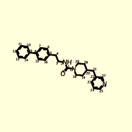 O=C(NCCc1ccc(-c2ccccc2)cc1)N1CCC(Cc2cccnc2)CC1